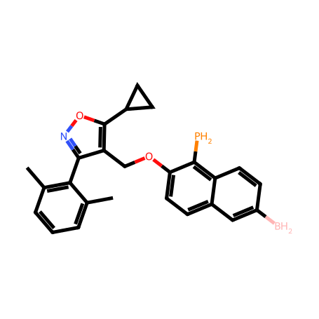 Bc1ccc2c(P)c(OCc3c(-c4c(C)cccc4C)noc3C3CC3)ccc2c1